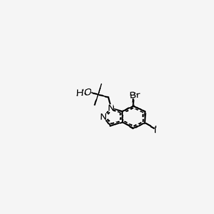 CC(C)(O)Cn1ncc2cc(I)cc(Br)c21